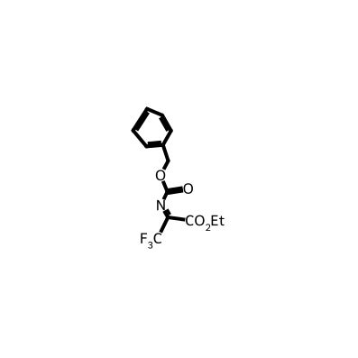 CCOC(=O)/C(=N\C(=O)OCc1ccccc1)C(F)(F)F